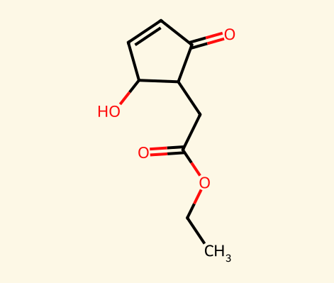 CCOC(=O)CC1C(=O)C=CC1O